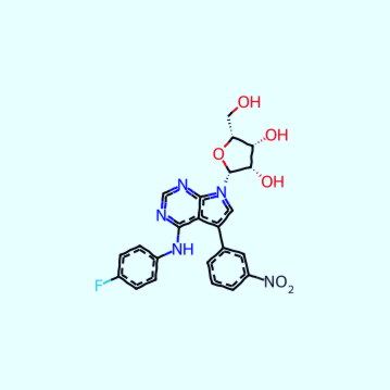 O=[N+]([O-])c1cccc(-c2cn([C@@H]3O[C@H](CO)[C@H](O)[C@@H]3O)c3ncnc(Nc4ccc(F)cc4)c23)c1